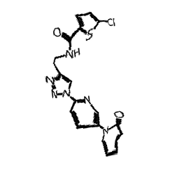 O=C(NCc1cn(-c2ccc(-n3ccccc3=O)cn2)nn1)c1ccc(Cl)s1